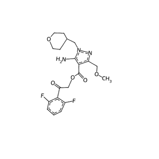 COCc1nn(CC2CCOCC2)c(N)c1C(=O)OCC(=O)c1c(F)cccc1F